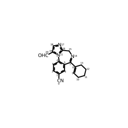 N#Cc1ccc2c(c1)C(C1=CCCCC1)=NCc1ncc(C=O)n1-2